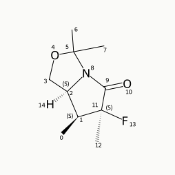 C[C@H]1[C@H]2COC(C)(C)N2C(=O)[C@@]1(C)F